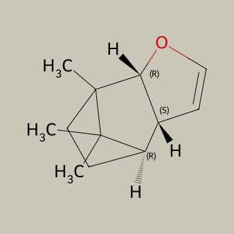 CC1(C)[C@@H]2CCC1(C)[C@@H]1OC=C[C@H]21